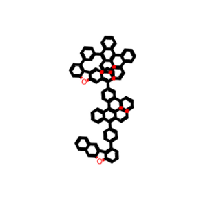 c1ccc(-c2ccccc2-c2c3ccccc3c(-c3cccc(-c4cccc5oc6cc7c(-c8ccc(-c9c%10ccccc%10c(-c%10ccc(-c%11cccc%12oc%13cc%14ccccc%14cc%13c%11%12)cc%10)c%10ccccc9%10)c(-c9ccccc9)c8)cccc7cc6c45)c3)c3ccccc23)cc1